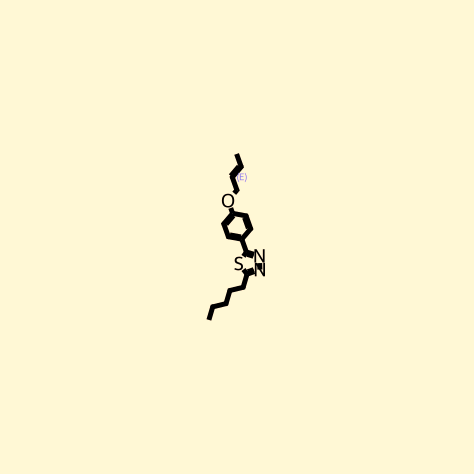 C/C=C/COc1ccc(-c2nnc(CCCCC)s2)cc1